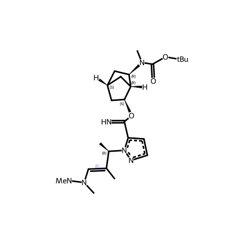 CNN(C)/C=C(\C)[C@@H](C)n1nccc1C(=N)O[C@H]1C[C@H]2C[C@@H]1[C@H](N(C)C(=O)OC(C)(C)C)C2